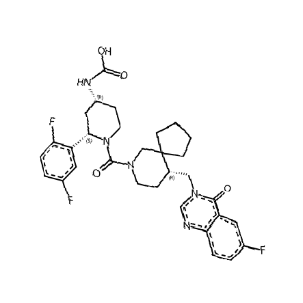 O=C(O)N[C@@H]1CCN(C(=O)N2CC[C@@H](Cn3cnc4ccc(F)cc4c3=O)C3(CCCC3)C2)[C@H](c2cc(F)ccc2F)C1